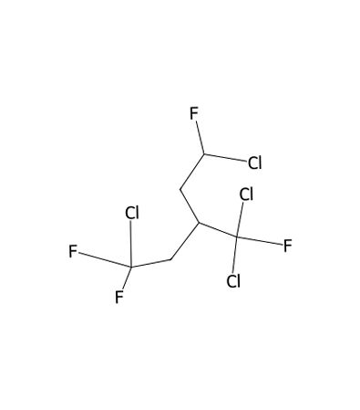 FC(Cl)CC(CC(F)(F)Cl)C(F)(Cl)Cl